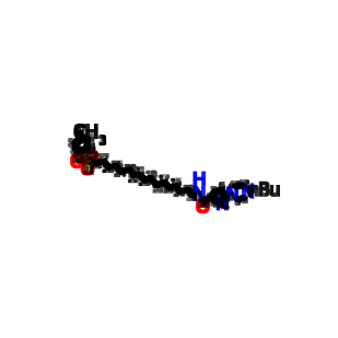 CCCCN1CCN(c2ccc(C(=O)NCCCCCCCCCCCCCCCCCOS(=O)(=O)c3ccc(C)cc3)cn2)CC1